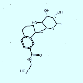 C[C@@H]1O[C@@H](O[C@@H]2CCCc3ccc(C(=O)NCC(=O)O)cc32)[C@@H](O)[C@H](O)[C@@H]1O